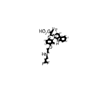 Cc1c(OCCNCCC(F)F)ccc(F)c1[C@@H]1c2[nH]c3ccccc3c2C[C@@H](C)N1CC(C)C(=O)O